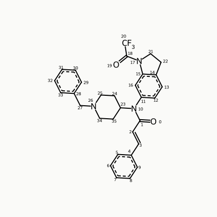 O=C(/C=C/c1ccccc1)N(c1ccc2c(c1)N(C(=O)C(F)(F)F)CC2)C1CCN(Cc2ccccc2)CC1